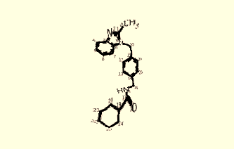 Cc1nc2ccccc2n1Cc1ccc(CNC(=O)C2CCCCC2)cc1